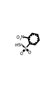 O=[N+]([O-])c1ccccc1[S](=O)(=O)[SnH]